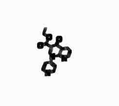 CCOC(=O)c1cn(-c2ccncc2)c2ncccc2c1=O